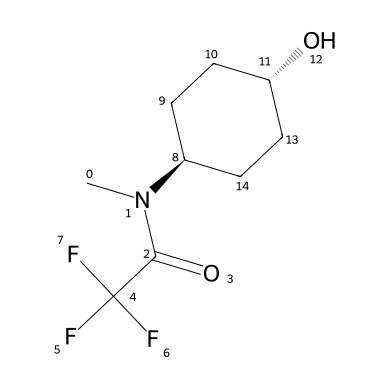 CN(C(=O)C(F)(F)F)[C@H]1CC[C@H](O)CC1